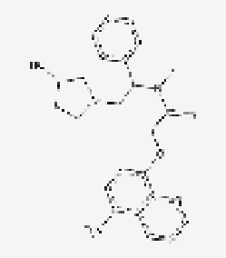 CN(C(=O)COc1ccc([N+](=O)[O-])c2cccnc12)C(CN1CC[C@H](O)C1)c1ccccc1